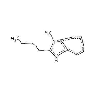 CCCCc1[nH]c2ccccc2[n+]1C